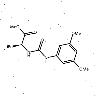 CCC(C)[C@H](NC(=O)Nc1cc(OC)cc(OC)c1)C(=O)OC